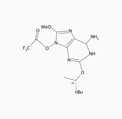 CCCC[C@H](C)OC1=Nc2c(nc(OC)n2OC(=O)C(F)(F)F)C(N)N1